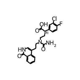 NC(=O)N(CCc1c[nH]c(=O)c2ccccc12)CC[C@@H](C(=O)O)c1ccc(F)c(Cl)c1